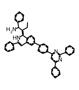 CC/C(=C1/NC(c2ccccc2)=Cc2cc(-c3ccc(-c4cc(-c5ccccc5)nc(-c5ccccc5)n4)cc3)ccc21)C(N)c1ccccc1